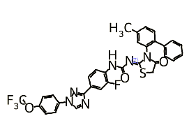 Cc1ccc(-c2ccccc2)c(N2C(=O)CS/C2=N\C(=O)Nc2ccc(-c3ncn(-c4ccc(OC(F)(F)F)cc4)n3)cc2F)c1